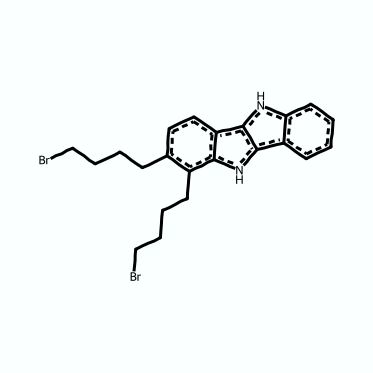 BrCCCCc1ccc2c([nH]c3c4ccccc4[nH]c23)c1CCCCBr